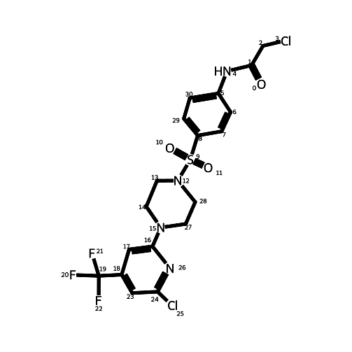 O=C(CCl)Nc1ccc(S(=O)(=O)N2CCN(c3cc(C(F)(F)F)cc(Cl)n3)CC2)cc1